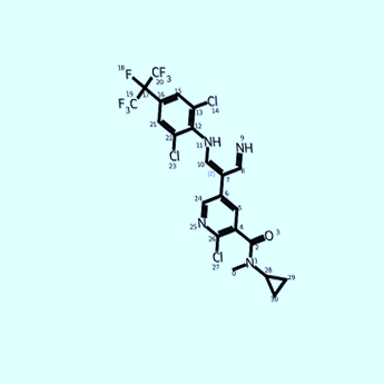 CN(C(=O)c1cc(/C(C=N)=C/Nc2c(Cl)cc(C(F)(C(F)(F)F)C(F)(F)F)cc2Cl)cnc1Cl)C1CC1